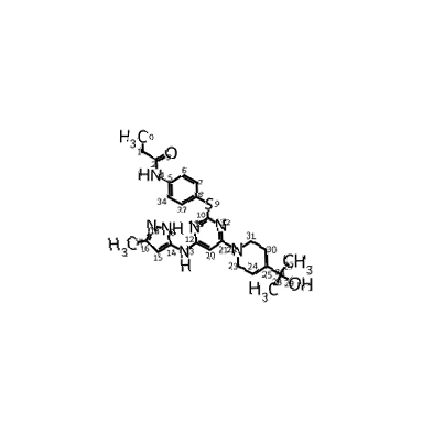 CCC(=O)Nc1ccc(Sc2nc(Nc3cc(C)n[nH]3)cc(N3CCC(C(C)(C)O)CC3)n2)cc1